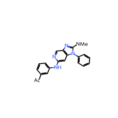 CNc1nc2cnc(Nc3cccc(C(C)=O)c3)cc2n1-c1ccccc1